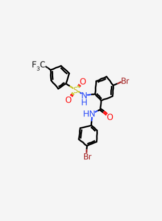 O=C(Nc1ccc(Br)cc1)c1cc(Br)ccc1NS(=O)(=O)c1ccc(C(F)(F)F)cc1